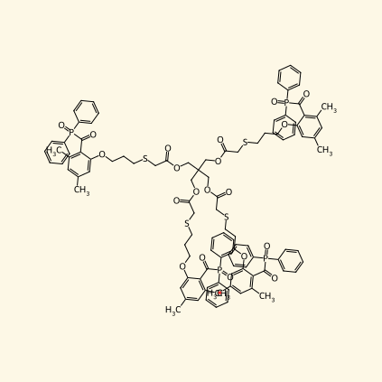 Cc1cc(C)c(C(=O)P(=O)(c2ccccc2)c2ccccc2)c(OCCCSCC(=O)OCC(COC(=O)CSCCCOc2cc(C)cc(C)c2C(=O)P(=O)(c2ccccc2)c2ccccc2)(COC(=O)CSCCCOc2cc(C)cc(C)c2C(=O)P(=O)(c2ccccc2)c2ccccc2)COC(=O)CSCCCOc2cc(C)cc(C)c2C(=O)P(=O)(c2ccccc2)c2ccccc2)c1